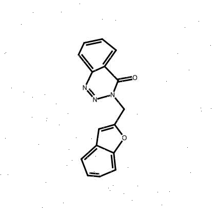 O=c1c2ccccc2nnn1Cc1cc2ccccc2o1